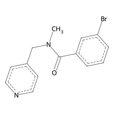 CN(Cc1ccncc1)C(=O)c1cccc(Br)c1